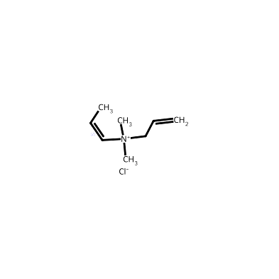 C=CC[N+](C)(C)/C=C\C.[Cl-]